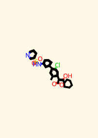 Cc1cc(-c2cccc(NS(=O)(=O)c3cccnc3)c2)c(Cl)cc1C1=C(O)C2(CCCCC2)OC1=O